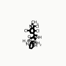 Cn1nc2c(Cl)cc(-c3c[nH]c4nc(N5[C@H]6CC[C@@H]5[C@@H](N)C6)n(C)c(=O)c34)c(Cl)c2c1Cl